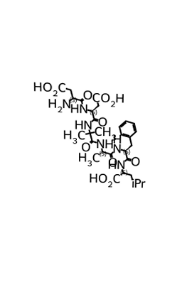 CC(C)C[C@H](NC(=O)[C@H](Cc1ccccc1)NC(=O)[C@H](C)NC(=O)C(C)(C)NC(=O)[C@H](CC(=O)O)NC(=O)[C@@H](N)CC(=O)O)C(=O)O